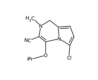 CC(C)OC1=C(C#N)N(C)Cc2ccc(Cl)n21